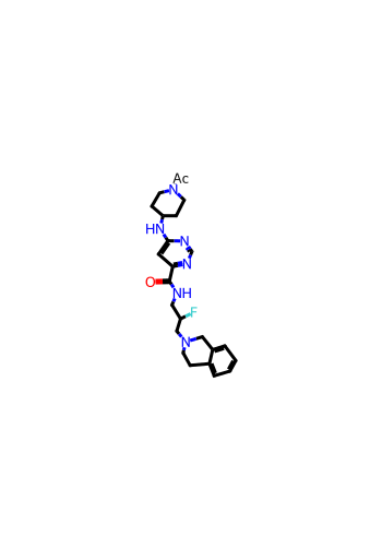 CC(=O)N1CCC(Nc2cc(C(=O)NCC(F)CN3CCc4ccccc4C3)ncn2)CC1